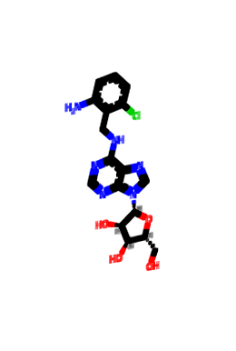 Nc1cccc(Cl)c1CNc1ncnc2c1ncn2[C@@H]1O[C@H](CO)[C@@H](O)[C@H]1O